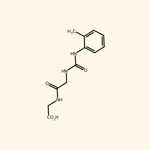 Cc1ccccc1NC(=O)NCC(=O)NCC(=O)O